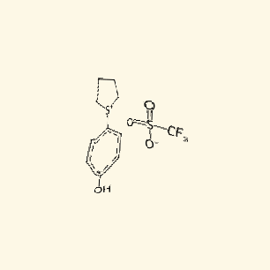 O=S(=O)([O-])C(F)(F)F.Oc1ccc([S+]2CCCC2)cc1